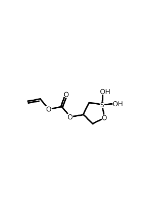 C=COC(=O)OC1COS(O)(O)C1